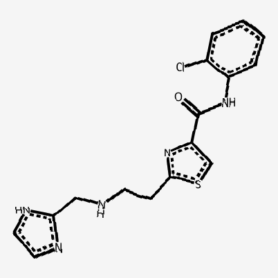 O=C(Nc1ccccc1Cl)c1csc(CCNCc2ncc[nH]2)n1